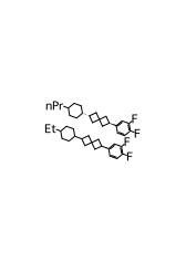 CCC1CCC(C2CC3(CC(c4ccc(F)c(F)c4)C3)C2)CC1.CCCC1CCC([C@H]2CC3(C[C@H](c4ccc(F)c(F)c4)C3)C2)CC1